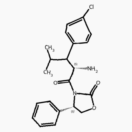 CC(C)C(c1ccc(Cl)cc1)[C@H](N)C(=O)N1C(=O)OC[C@@H]1c1ccccc1